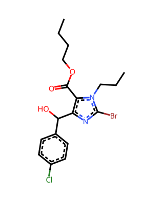 CCCCOC(=O)c1c(C(O)c2ccc(Cl)cc2)nc(Br)n1CCC